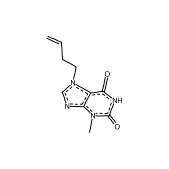 C=CCCn1cnc2c1c(=O)[nH]c(=O)n2C